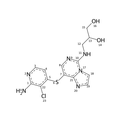 Nc1nccc(Sc2cnc(NCC(O)CO)n3ccnc23)c1Cl